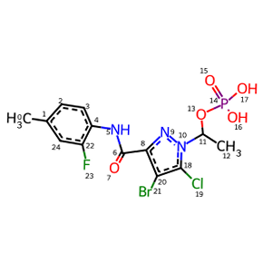 Cc1ccc(NC(=O)c2nn(C(C)OP(=O)(O)O)c(Cl)c2Br)c(F)c1